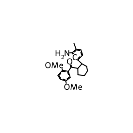 COc1ccc(OC)c(C(=O)C2CCCCC2c2ccc(C)c(N)c2)c1